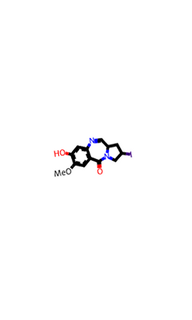 COc1cc2c(cc1O)N=CC1CC(I)CN1C2=O